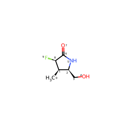 C[C@@H]1[C@H](CO)NC(=O)[C@@H]1F